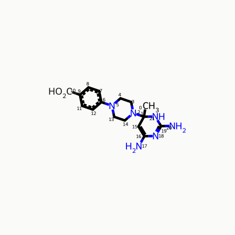 CC1(N2CCN(c3ccc(C(=O)O)cc3)CC2)C=C(N)N=C(N)N1